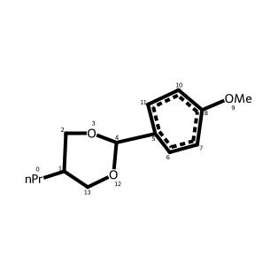 CCCC1COC(c2ccc(OC)cc2)OC1